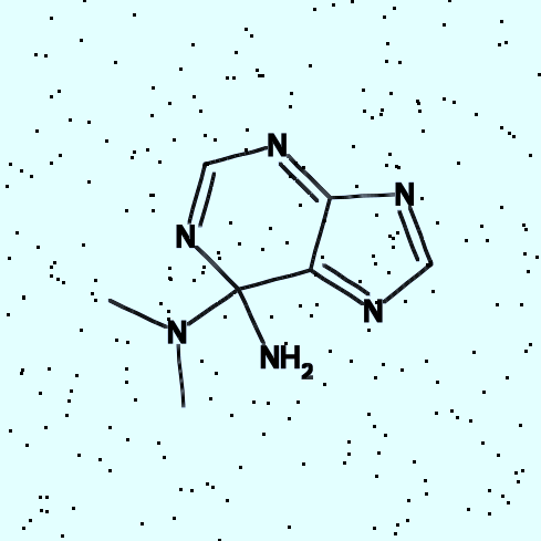 CN(C)C1(N)N=CN=C2N=CN=C21